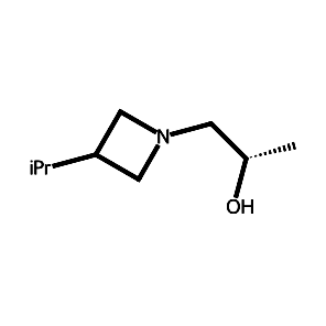 CC(C)C1CN(C[C@H](C)O)C1